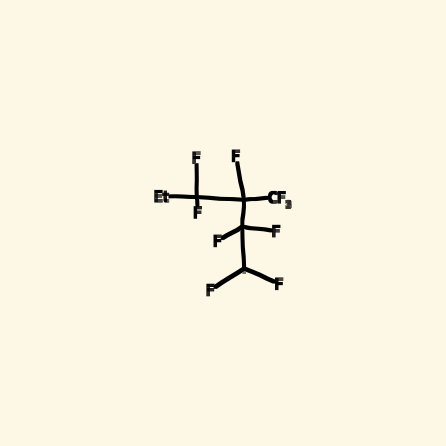 [CH2]CC(F)(F)C(F)(C(F)(F)F)C(F)(F)[C](F)F